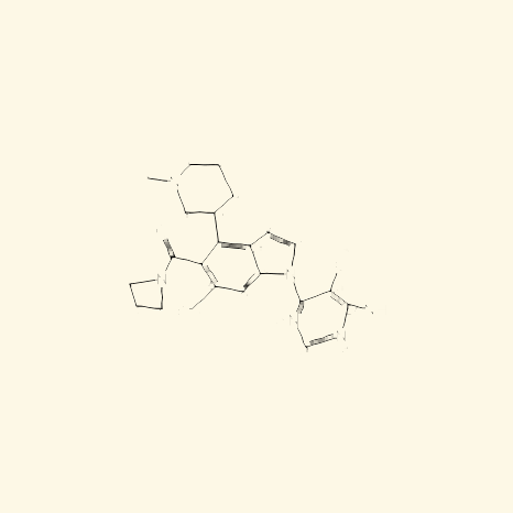 CN1CCCC(c2c(C(=O)N3CCC3)c(Cl)cc3c2ccn3-c2ncnc(N)c2Cl)C1